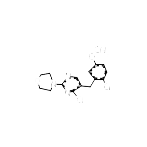 COc1ccc(Cl)c(Cc2cnc(N3CCOCC3)nc2Cl)c1